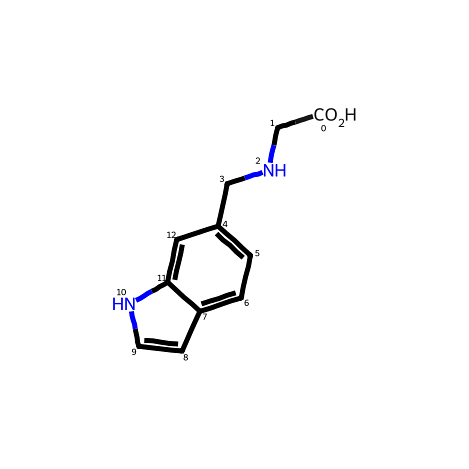 O=C(O)CNCc1ccc2cc[nH]c2c1